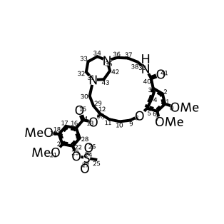 COc1cc2cc(c1OC)OCCC[C@@H](OC(=O)c1cc(OC)c(OC)c(OS(C)(=O)=O)c1)CCN1CCCN(CCCNC2=O)CC1